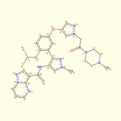 CN1CCN(C(=O)Cn2cc(Oc3ccc(OC(F)F)c(-c4nn(C)cc4NC(=O)c4cnn5cccnc45)c3)cn2)CC1